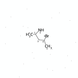 CC([NH])CC(C)Br